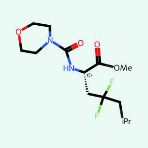 COC(=O)[C@H](CC(F)(F)CC(C)C)NC(=O)N1CCOCC1